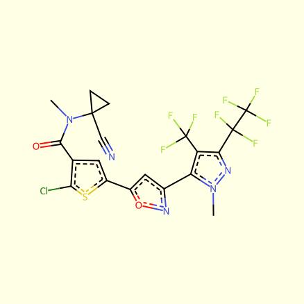 CN(C(=O)c1cc(-c2cc(-c3c(C(F)(F)F)c(C(F)(F)C(F)(F)F)nn3C)no2)sc1Cl)C1(C#N)CC1